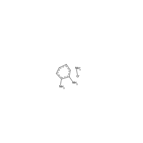 Nc1ccccc1N.[NH3+][O-]